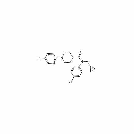 O=C(C1CCN(c2ccc(F)cn2)CC1)N(CC1CC1)c1ccc(Cl)cc1